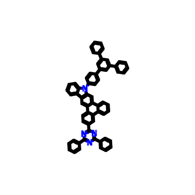 c1ccc(-c2cc(-c3ccccc3)cc(-c3ccc(-n4c5ccccc5c5cc6c7ccc(-c8nc(-c9ccccc9)nc(-c9ccccc9)n8)cc7c7ccccc7c6cc54)cc3)c2)cc1